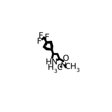 CN(C)C(=O)C1CC(c2ccc(C(F)(F)F)cc2)CN1